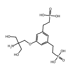 NC(CO)(CO)COc1cc(CCP(=O)(O)O)cc(CCP(=O)(O)O)c1